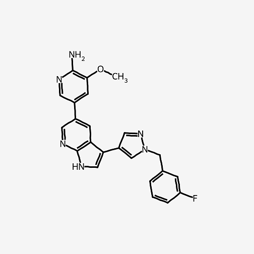 COc1cc(-c2cnc3[nH]cc(-c4cnn(Cc5cccc(F)c5)c4)c3c2)cnc1N